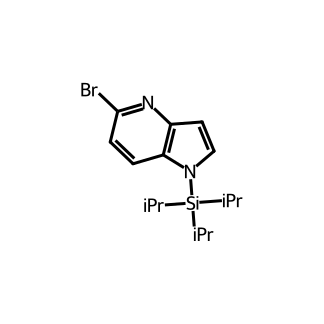 CC(C)[Si](C(C)C)(C(C)C)n1ccc2nc(Br)ccc21